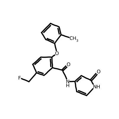 Cc1ccccc1Oc1ccc(CF)cc1C(=O)Nc1cc[nH]c(=O)c1